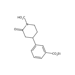 CCOC(=O)c1cccc(C2CCN(C(=O)O)C(=O)C2)c1